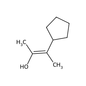 C/C(O)=C(/C)C1CCCC1